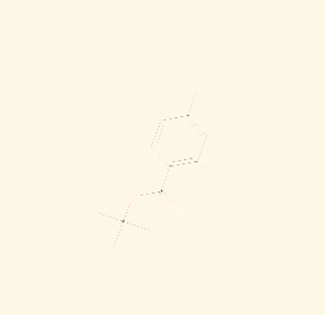 CC(C)(C)OC(=O)c1ccc(I)cc1O